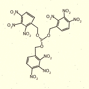 O=[N+]([O-])c1ccc(COP(OCc2ccc([N+](=O)[O-])c([N+](=O)[O-])c2[N+](=O)[O-])OCc2ccc([N+](=O)[O-])c([N+](=O)[O-])c2[N+](=O)[O-])c([N+](=O)[O-])c1[N+](=O)[O-]